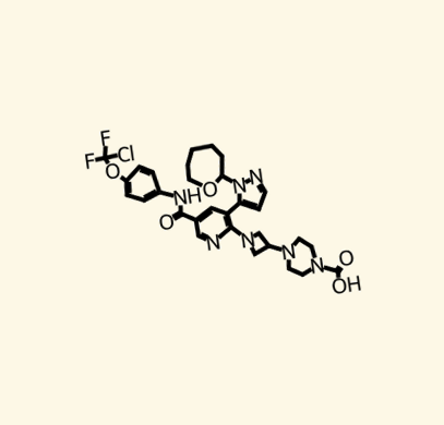 O=C(Nc1ccc(OC(F)(F)Cl)cc1)c1cnc(N2CC(N3CCN(C(=O)O)CC3)C2)c(-c2ccnn2C2CCCCCO2)c1